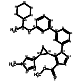 COC(=O)c1cnn(-c2cccc(-c3cccc(OC(C)C4CCCCC4)c3)c2)c1[C@@H]1C[C@@H]1c1cn(C)nn1